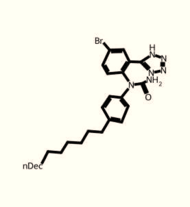 CCCCCCCCCCCCCCCCc1ccc(N(C(N)=O)c2ccc(Br)cc2-c2nnn[nH]2)cc1